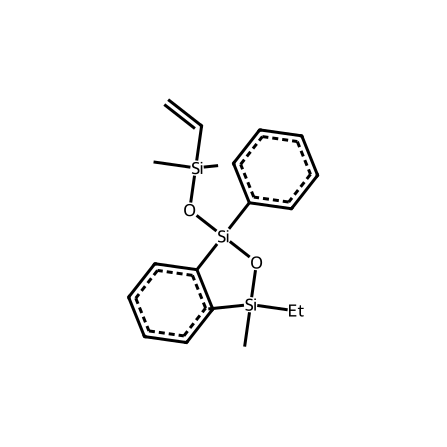 C=C[Si](C)(C)O[Si](O[Si](C)(C)CC)(c1ccccc1)c1ccccc1